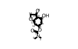 CN(C)C(=O)Oc1cc(O)c2c(c1)OCC2=O